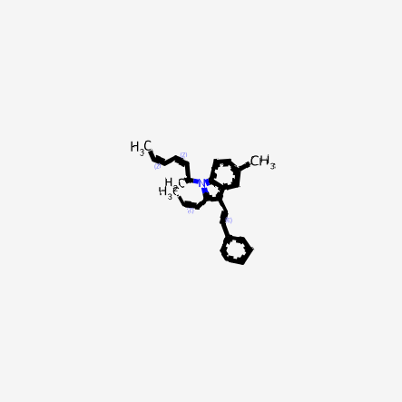 C=C(/C=C\C=C/C)n1c(/C=C\C)c(/C=C/c2ccccc2)c2cc(C)ccc21